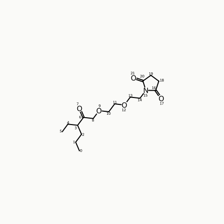 CCCC(CC)C(=O)COCCOCCN1C(=O)CCC1=O